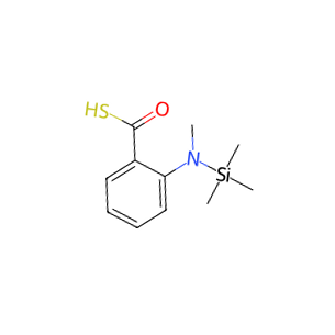 CN(c1ccccc1C(=O)S)[Si](C)(C)C